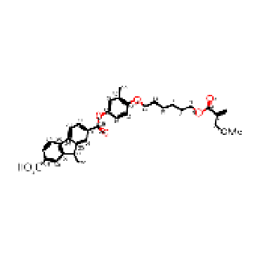 C=C(COC)C(=O)OCCCCCCOc1ccc(OC(=O)c2ccc3c(c2)C(C)c2cc(C(=O)O)ccc2-3)cc1C